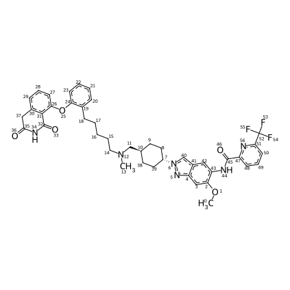 COc1cc2nn([C@H]3CC[C@H](CN(C)CCCCCc4ccccc4Oc4cccc5c4C(=O)NC(=O)C5)CC3)cc2cc1NC(=O)c1cccc(C(F)(F)F)n1